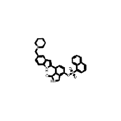 O=C1NCc2c(OS(=O)(=O)c3cccc4ccccc34)ccc(-c3cc4cc(CN5CCCCC5)ccc4[nH]3)c21